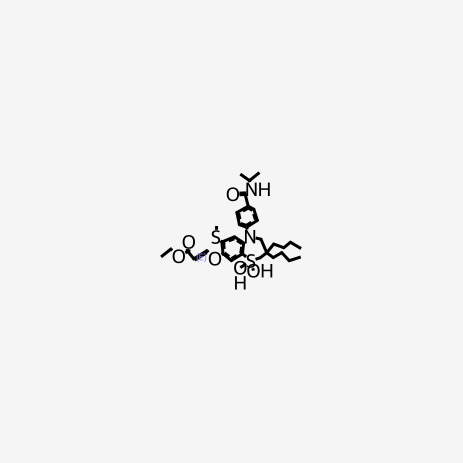 CCCCC1(CCCC)CN(c2ccc(C(=O)NC(C)C)cc2)c2cc(SC)c(O/C=C/C(=O)OCC)cc2S(O)(O)C1